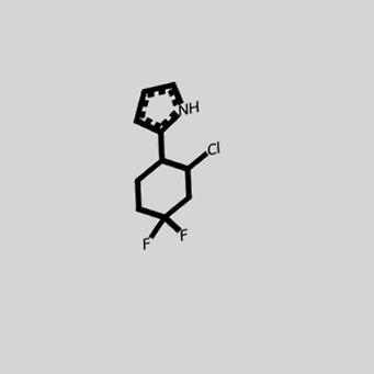 FC1(F)CCC(c2ccc[nH]2)C(Cl)C1